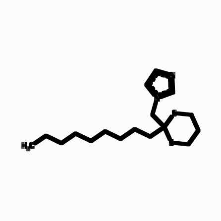 CCCCCCCCCC1(Cn2ccnc2)SCCCS1